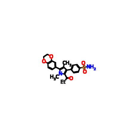 CCC(=O)c1c(-c2ccc(S(N)(=O)=O)cc2)c(C)c(-c2ccc3c(c2)OCCO3)n1C